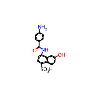 Nc1ccc(C(=O)Nc2ccc(S(=O)(=O)O)c3ccc(O)cc23)cc1